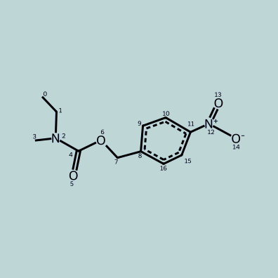 CCN(C)C(=O)OCc1ccc([N+](=O)[O-])cc1